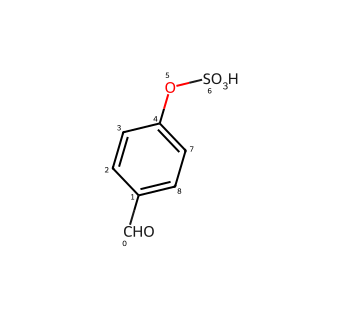 O=Cc1ccc(OS(=O)(=O)O)cc1